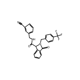 N#Cc1cccc(CNC(=O)C2c3ccccc3C(=O)N2Cc2ccc(C(F)(F)F)cc2)c1